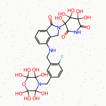 O=C1c2cccc(NCc3cc(CN4C(O)(O)C(O)(O)OC(O)(O)C4(O)O)ccc3F)c2CN1C1(O)C(=O)NC(=O)C(O)(O)C1(O)O